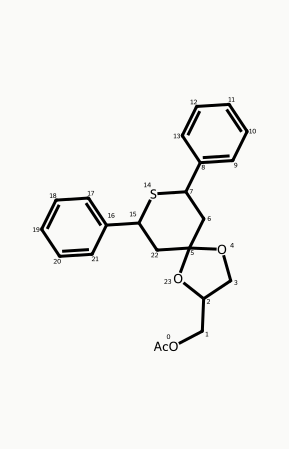 CC(=O)OCC1COC2(CC(c3ccccc3)SC(c3ccccc3)C2)O1